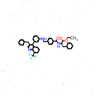 CCOC(=O)[C@@H](Cc1ccccc1)NC(=O)c1ccc(CNc2cccc(-c3c(Cc4ccccc4)cnc4c(C(F)(F)F)cccc34)c2)cc1